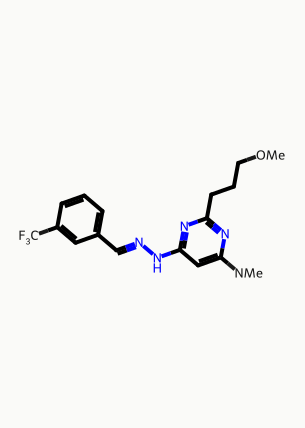 CNc1cc(NN=Cc2cccc(C(F)(F)F)c2)nc(CCCOC)n1